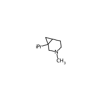 CC(C)C12CC1CCN(C)C2